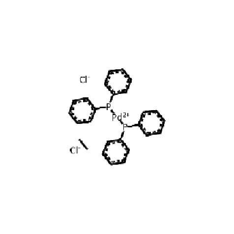 CC.[Cl-].[Cl-].c1ccc([P]([Pd+2][P](c2ccccc2)c2ccccc2)c2ccccc2)cc1